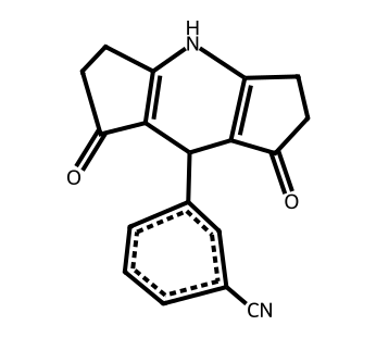 N#Cc1cccc(C2C3=C(CCC3=O)NC3=C2C(=O)CC3)c1